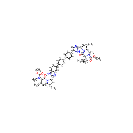 COC(=O)N(C)C(C(=O)N1C[C@@H](C)C[C@H]1c1nc2cc(-c3ccc(-c4ccc(-c5cnc([C@@H]6C[C@H](C)CN6C(=O)[C@H](C(C)C)N(C)C(=O)OC)[nH]5)cc4)cc3)ccc2[nH]1)C(C)C